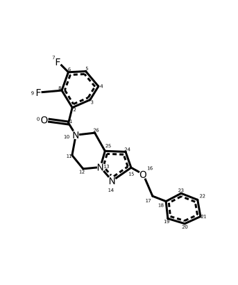 O=C(c1cccc(F)c1F)N1CCn2nc(OCc3ccccc3)cc2C1